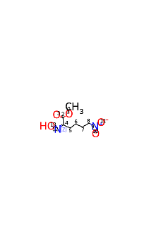 COC(=O)/C(CCCC[N+](=O)[O-])=N\O